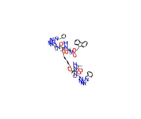 CC(C)C(=O)N[C@H](C(=O)N1CCCC1Cn1nnnc1N(C)Cc1ccccc1)[C@@H](C)OCC#CC#CCOC(C)[C@H](NC(=O)[C@H](C)N(C)C(=O)OCC1c2ccccc2-c2ccccc21)C(=O)N1CCC[C@H]1Cn1nnnc1N(C)Cc1ccccc1